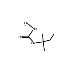 CCC(C)(C)NC(=N)NN